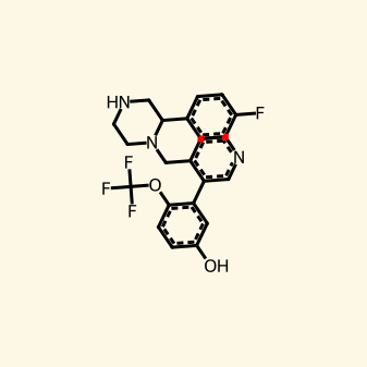 Oc1ccc(OC(F)(F)F)c(-c2cnccc2CN2CCNCC2c2ccc(F)cc2)c1